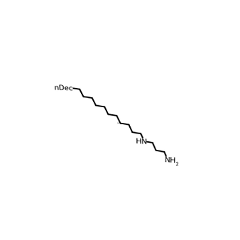 CCCCCCCCCCCCCCCCC[CH]CCCNCCCN